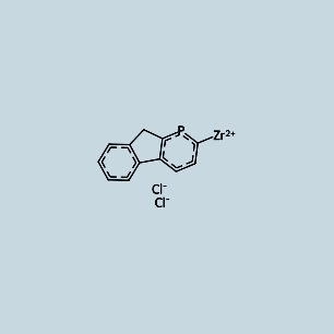 [Cl-].[Cl-].[Zr+2][c]1ccc2c(p1)Cc1ccccc1-2